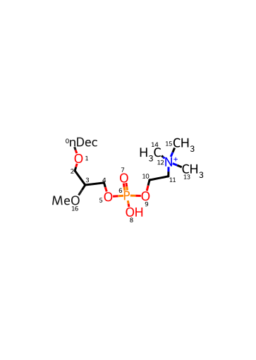 CCCCCCCCCCOCC(COP(=O)(O)OCC[N+](C)(C)C)OC